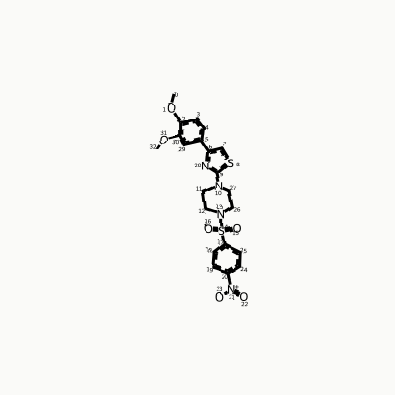 COc1ccc(-c2csc(N3CCN(S(=O)(=O)c4ccc([N+](=O)[O-])cc4)CC3)n2)cc1OC